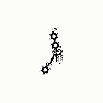 COc1ccc(-c2ccc(S(=O)(=O)C(N)(CC#CCOc3ccccc3)C(=O)O)cc2)cc1